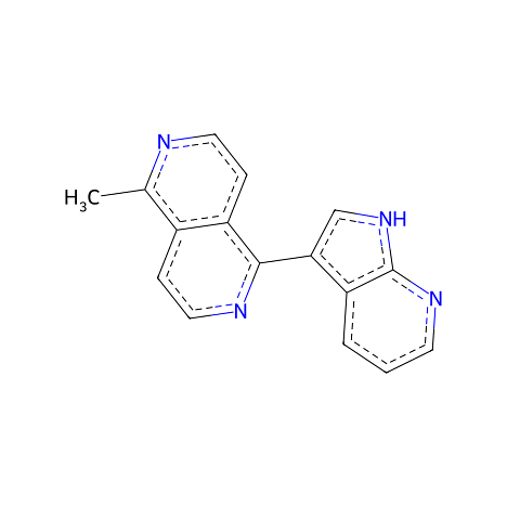 Cc1nccc2c(-c3c[nH]c4ncccc34)nccc12